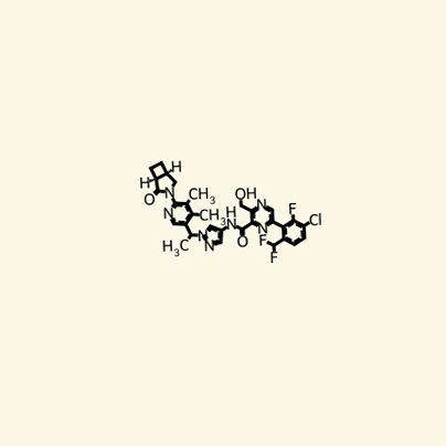 Cc1c(C(C)n2cc(NC(=O)c3nc(-c4c(C(F)F)ccc(Cl)c4F)cnc3CO)cn2)cnc(N2C[C@H]3CC[C@H]3C2=O)c1C